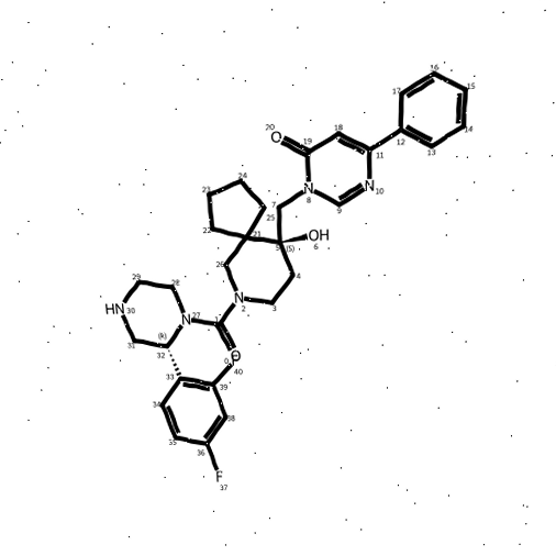 O=C(N1CC[C@@](O)(Cn2cnc(-c3ccccc3)cc2=O)C2(CCCC2)C1)N1CCNC[C@H]1c1ccc(F)cc1F